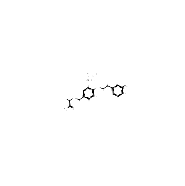 CC(NCc1ccc(OCCc2cccc(F)c2)cc1)C(N)=O.CS(=O)(=O)O